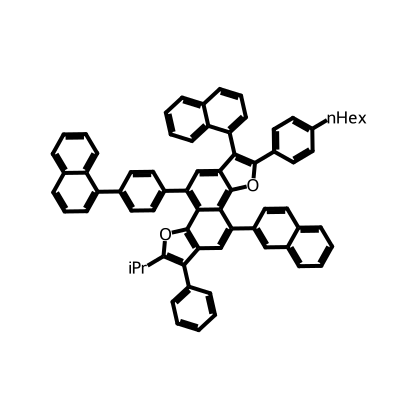 CCCCCCc1ccc(-c2oc3c(cc(-c4ccc(-c5cccc6ccccc56)cc4)c4c5oc(C(C)C)c(-c6ccccc6)c5cc(-c5ccc6ccccc6c5)c34)c2-c2cccc3ccccc23)cc1